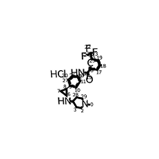 CN1CCC(N[C@@H]2C[C@H]2c2ccc(NC(=O)c3cccc(C(F)(F)F)c3)cc2)CC1.Cl